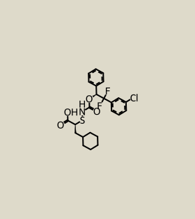 O=C(NS[C@@H](CC1CCCCC1)C(=O)O)O[C@@H](c1ccccc1)C(F)(F)c1cccc(Cl)c1